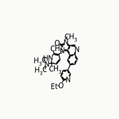 CCOc1ccc(-c2ccc3ncc4c(c3c2)n(C2=C(C)NC(C)(N(C)C)C=C2)c(=O)n4C)cn1